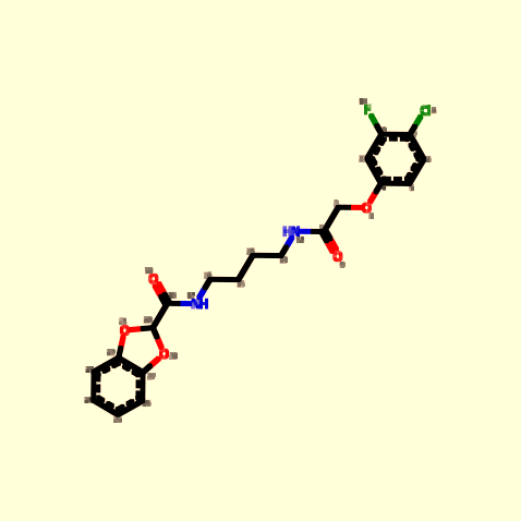 O=C(COc1ccc(Cl)c(F)c1)NCCCCNC(=O)C1Oc2ccccc2O1